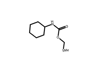 CSCOC(=O)NC1CCCCC1